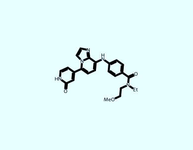 CCN(CCOC)C(=O)c1ccc(Nc2ccc(-c3cc[nH]c(=O)c3)n3ccnc23)cc1